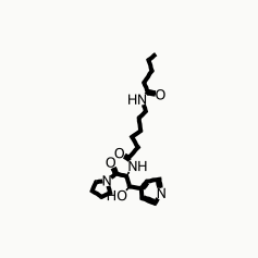 CCCCC(=O)NCCCCCC(=O)N[C@@H](C(=O)N1CCCC1)[C@@H](O)c1ccncc1